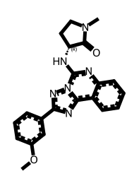 COc1cccc(-c2nc3c4ccccc4nc(N[C@@H]4CCN(C)C4=O)n3n2)c1